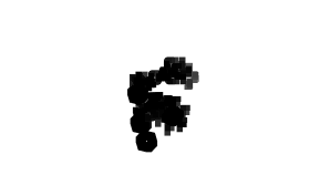 C[Si](C)(C)CCOCn1nnc2ccc(N(Cc3ccc(C4CCCCC4)cn3)C(=O)C3CCN3S(=O)(=O)c3c(F)c(F)c(F)c(F)c3F)cc21